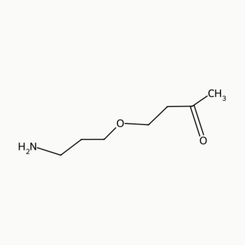 CC(=O)CCOCCCN